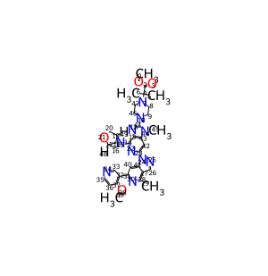 COC(=O)C(C)(C)N1CCN(c2nc3c(N4C[C@H]5C[C@@H]4CO5)nc(-n4ncc5c(C)nc(-c6cnccc6OC)cc54)cc3n2C)CC1